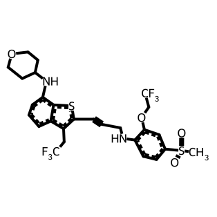 CS(=O)(=O)c1ccc(NCC#Cc2sc3c(NC4CCOCC4)cccc3c2CC(F)(F)F)c(OCC(F)(F)F)c1